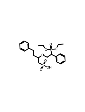 CCOP(=O)(OCC)C(COC(CCc1ccccc1)CS(=O)(=O)O)c1ccccc1